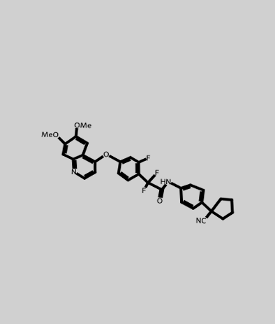 COc1cc2nccc(Oc3ccc(C(F)(F)C(=O)Nc4ccc(C5(C#N)CCCC5)cc4)c(F)c3)c2cc1OC